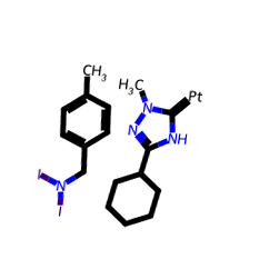 Cc1ccc(CN(I)I)cc1.Cn1nc(C2CCCCC2)[nH][c]1=[Pt]